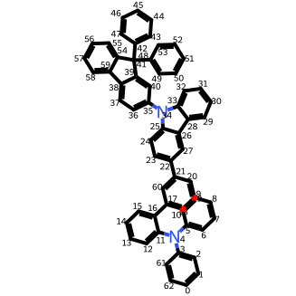 c1ccc(N(c2ccccc2)c2ccccc2-c2cccc(-c3ccc4c(c3)c3ccccc3n4-c3ccc4c(c3)C(c3ccccc3)(c3ccccc3)c3ccccc3-4)c2)cc1